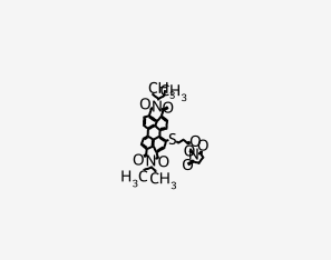 CCC(CC)N1C(=O)c2ccc3c4ccc5c6c(cc(SCCC(=O)ON7C(=O)CCC7=O)c(c7ccc(c2c37)C1=O)c64)C(=O)N(C(CC)CC)C5=O